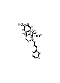 CC12CCN(C/C=C/c3ccccc3)C(C1)C(C)(C)c1ccc(O)cc12.Cl